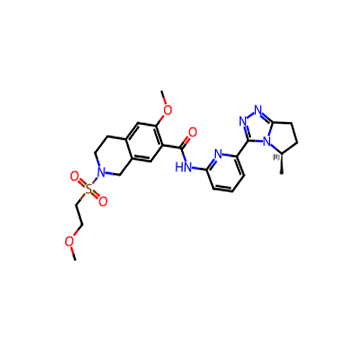 COCCS(=O)(=O)N1CCc2cc(OC)c(C(=O)Nc3cccc(-c4nnc5n4[C@H](C)CC5)n3)cc2C1